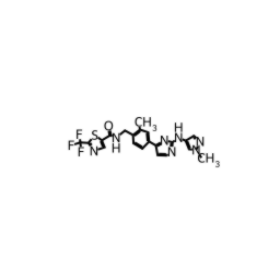 Cc1cc(-c2ccnc(Nc3cnn(C)c3)n2)ccc1CNC(=O)c1cnc(C(F)(F)F)s1